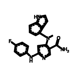 CN(c1cc(Nc2ccc(F)cc2)ncc1C(N)=O)c1cccc2[nH]ccc12